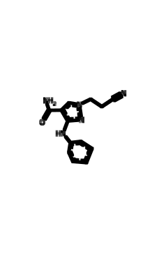 N#CCCn1cc(C(N)=O)c(Nc2ccccc2)n1